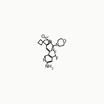 CS(=O)(=O)C1(c2cc(-c3cnc(N)cc3C(F)F)nc(N3CCOCC3)n2)CCC1